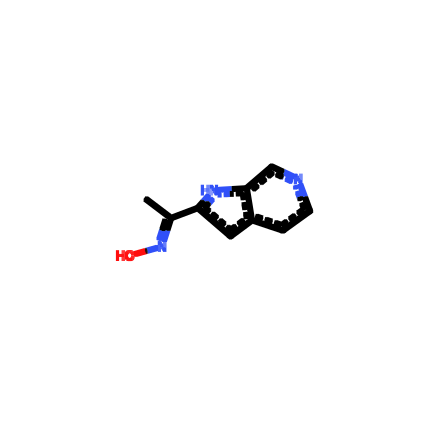 CC(=NO)c1cc2ccncc2[nH]1